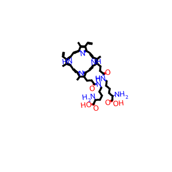 C=CC1=C(C)c2cc3[nH]c(cc4nc(cc5[nH]c(cc1n2)c(C)c5CCC(=O)NCCCC[C@H](N)C(=O)O)C(CCC(=O)NCCCC[C@H](N)C(=O)O)C4C)c(C)c3C=C